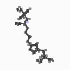 N/C(CCSC[13c]1cs[13c](N=[13C](N)N)n1)=N\S(N)(=O)=O